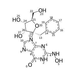 O=c1[nH]c(NO)nc2c1ncn2[C@]1(Cc2ccccc2)O[C@H](CO)[C@@H](O)[C@H]1O